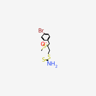 C[S+]([O-])C(CCSC(N)=S)Cc1ccc(Br)cc1